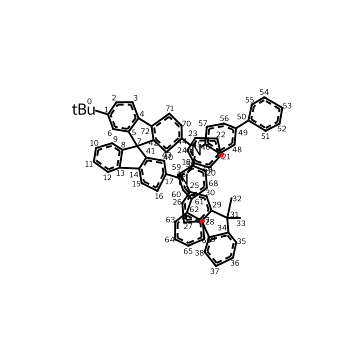 CC(C)(C)c1ccc2c(c1)C1(c3ccccc3-c3ccc(N(c4ccccc4)c4ccc5c(c4)C(C)(C)c4ccccc4-5)cc31)c1cc(N(c3ccc(-c4ccccc4)cc3)c3ccc(-c4ccccc4)cc3)ccc1-2